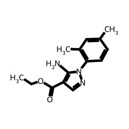 CCOC(=O)c1cnn(-c2ccc(C)cc2C)c1N